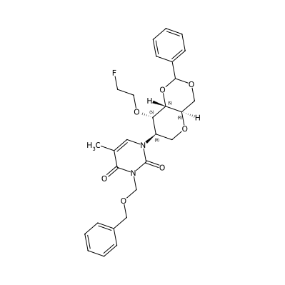 Cc1cn([C@@H]2CO[C@@H]3COC(c4ccccc4)O[C@H]3[C@H]2OCCF)c(=O)n(COCc2ccccc2)c1=O